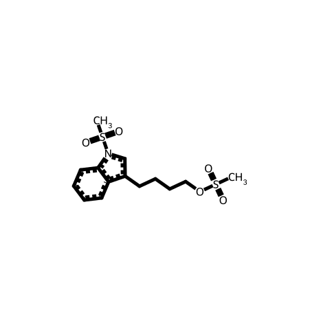 CS(=O)(=O)OCCCCc1cn(S(C)(=O)=O)c2ccccc12